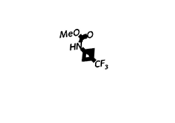 COC(=O)NC12CC(C(F)(F)F)(C1)C2